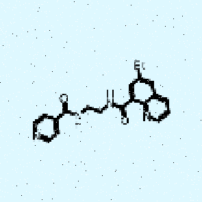 CCc1cc(C(=O)NCCNC(=O)c2ccncc2)c2ncccc2c1